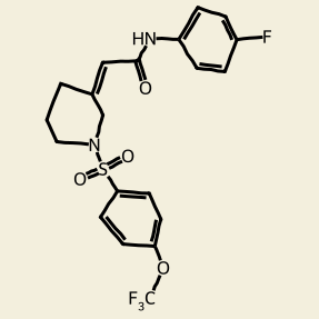 O=C(C=C1CCCN(S(=O)(=O)c2ccc(OC(F)(F)F)cc2)C1)Nc1ccc(F)cc1